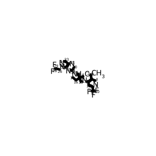 CC(C)c1cnc(C(F)(F)F)cc1N1CC2(CCN(c3cnc4cnn(CC(F)F)c4n3)C2)C1